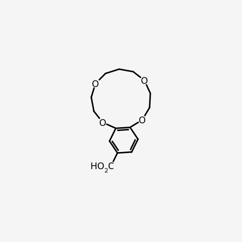 O=C(O)c1ccc2c(c1)OCCOCCCOCCO2